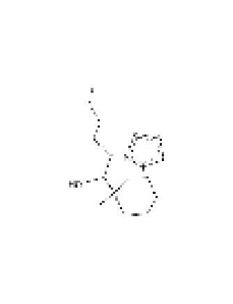 CCCCC(C(O)C1(C)CCCCC1)n1cncn1